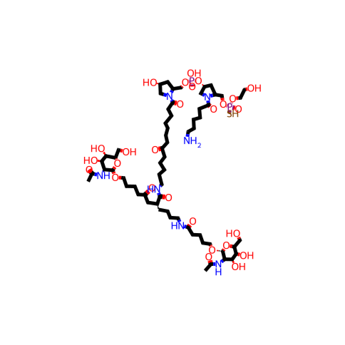 CC(=O)NC1[C@H](OCCCCC(=O)NCCCC[C@H](CC(=O)CCCCOC2OC(CO)[C@H](O)[C@H](O)[C@@H]2NC(C)=O)C(=O)NCCCCCC(=O)CCCCCCC(=O)N2C[C@H](O)CC2COP(=O)(O)O[C@@H]2CC(COP(=O)(S)OCCO)N(C(=O)CCCCCN)C2)OC(CO)C(O)[C@H]1O